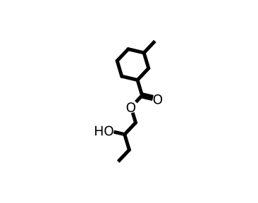 CCC(O)COC(=O)C1CCCC(C)C1